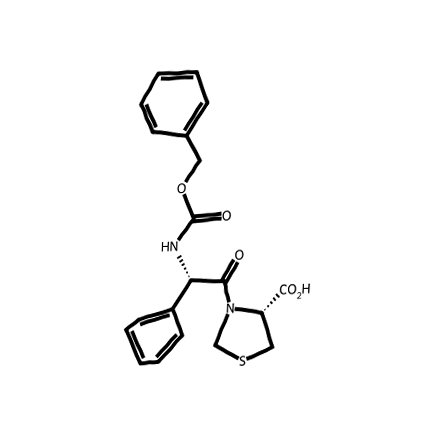 O=C(N[C@H](C(=O)N1CSC[C@H]1C(=O)O)c1ccccc1)OCc1ccccc1